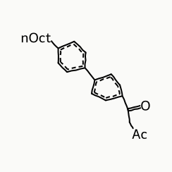 CCCCCCCCc1ccc(-c2ccc(C(=O)CC(C)=O)cc2)cc1